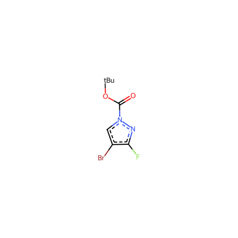 CC(C)(C)OC(=O)n1cc(Br)c(F)n1